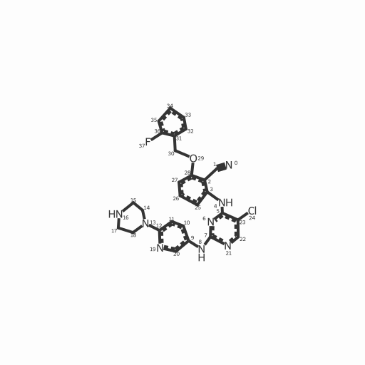 N#Cc1c(Nc2nc(Nc3ccc(N4CCNCC4)nc3)ncc2Cl)cccc1OCc1ccccc1F